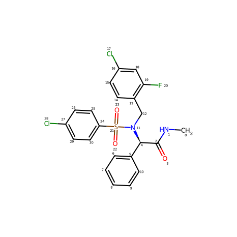 CNC(=O)[C@@H](c1ccccc1)N(Cc1ccc(Cl)cc1F)S(=O)(=O)c1ccc(Cl)cc1